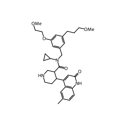 COCCCc1cc(CN(C(=O)C2CNCCC2c2cc(=O)[nH]c3ccc(C)cc23)C2CC2)cc(OCCOC)c1